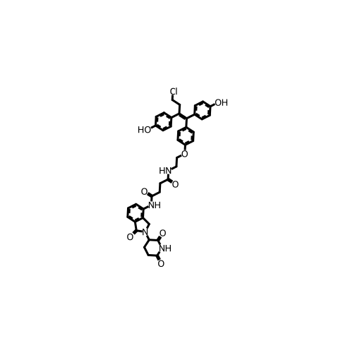 O=C(CCC(=O)Nc1cccc2c1CN(C1CCC(=O)NC1=O)C2=O)NCCOc1ccc(C(=C(CCCl)c2ccc(O)cc2)c2ccc(O)cc2)cc1